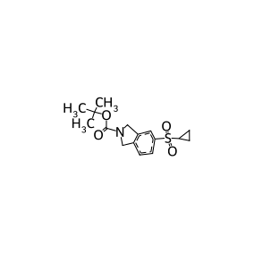 CC(C)(C)OC(=O)N1Cc2ccc(S(=O)(=O)C3CC3)cc2C1